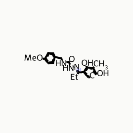 CC/C(=N\NC(=O)NCc1ccc(OC)cc1)c1ccc(O)c(C)c1O